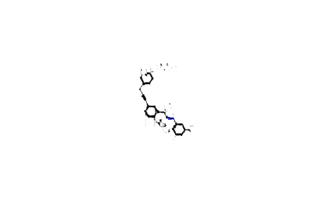 COc1ccc(CC#Cc2ccc3c(c2)C(=O)/C(=C/c2cccc(F)c2)[S+]([O-])N3)cn1